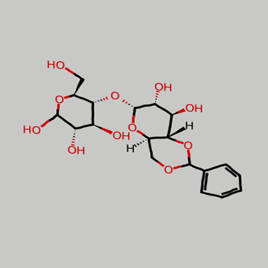 OC[C@@H]1OC(O)[C@@H](O)[C@H](O)[C@H]1O[C@H]1O[C@@H]2COC(c3ccccc3)O[C@H]2[C@H](O)[C@H]1O